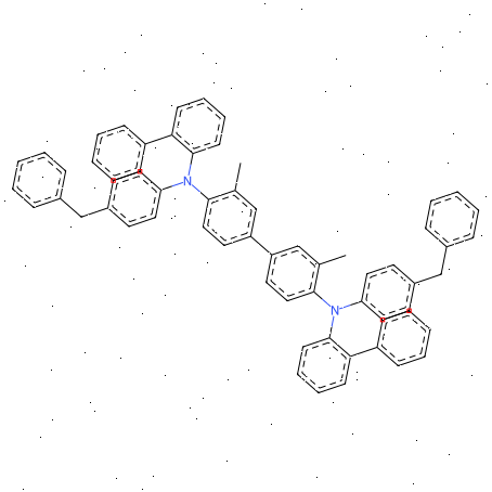 Cc1cc(-c2ccc(N(c3ccc(Cc4ccccc4)cc3)c3ccccc3-c3ccccc3)c(C)c2)ccc1N(c1ccc(Cc2ccccc2)cc1)c1ccccc1-c1ccccc1